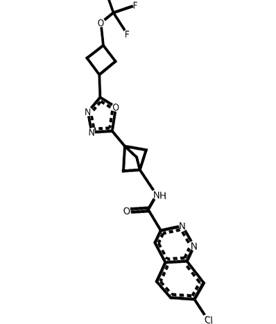 O=C(NC12CC(c3nnc(C4CC(OC(F)(F)F)C4)o3)(C1)C2)c1cc2ccc(Cl)cc2nn1